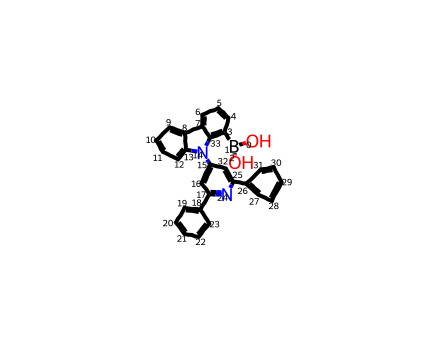 OB(O)c1cccc2c3ccccc3n(-c3cc(-c4ccccc4)nc(-c4ccccc4)c3)c12